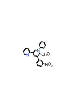 O=CC1C(c2cccc([N+](=O)[O-])c2)=CC(c2ccccn2)=CN1c1ccccc1